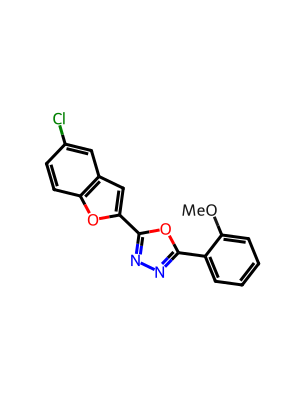 COc1ccccc1-c1nnc(-c2cc3cc(Cl)ccc3o2)o1